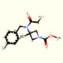 CC(C)(C)OC(=O)N1CC(C#N)(N(Cc2ccc(Cl)cc2)C(=O)CCl)C1